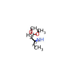 CCC(=N)C[SiH](OC)OC